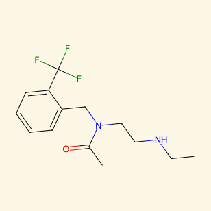 CCNCCN(Cc1ccccc1C(F)(F)F)C(C)=O